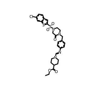 CCOC(=O)C1CCN(C=Nc2ccc(CN3CCN(S(=O)(=O)c4cc5ccc(Cl)cc5s4)CC3=O)cc2)CC1